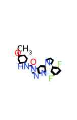 COC1CCC(NC(=O)n2cnc3ncc(N4CCC[C@@H]4c4cc(F)ccc4F)cc32)CC1